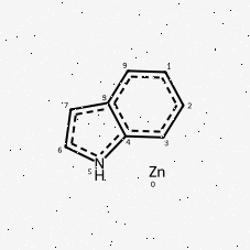 [Zn].c1ccc2[nH]ccc2c1